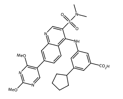 COc1ncc(-c2ccc3c(Nc4cc(C(=O)O)cc(C5CCCC5)c4)c(S(=O)(=O)N(C)C)cnc3c2)c(OC)n1